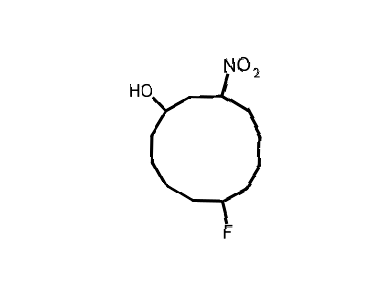 O=[N+]([O-])C1CCCCC(F)CCCCC(O)C1